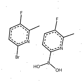 Cc1nc(B(O)O)ccc1F.Cc1nc(Br)ccc1F